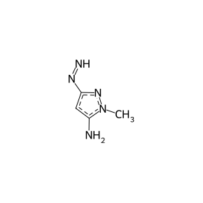 Cn1nc(N=N)cc1N